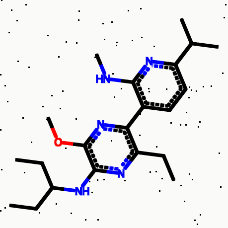 CCc1nc(NC(CC)CC)c(OC)nc1-c1ccc(C(C)C)nc1NC